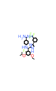 CCOc1cc(OC(C)C)c(F)c(C(Nc2ccc(C(=N)N)cc2)c2nc(-c3cccc(C(F)(F)F)c3)c[nH]2)c1